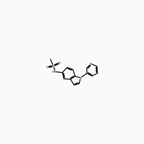 CS(=O)(=O)Nc1ccc2c(ccn2-c2cccnc2)c1